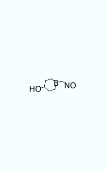 O=NCB1CCC(O)CC1